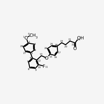 COc1ccc(-c2cccc(F)c2COc2ccc(CCCC(=O)O)cc2)cc1